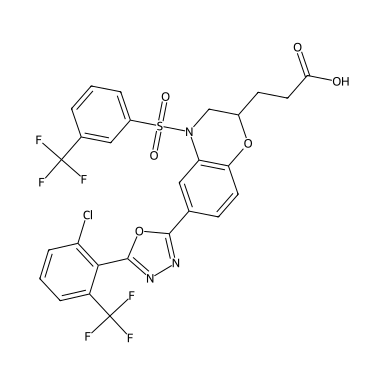 O=C(O)CCC1CN(S(=O)(=O)c2cccc(C(F)(F)F)c2)c2cc(-c3nnc(-c4c(Cl)cccc4C(F)(F)F)o3)ccc2O1